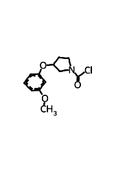 COc1cccc(OC2CCN(C(=O)Cl)C2)c1